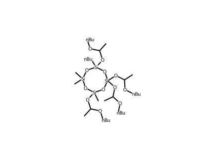 CCCCOC(C)O[Si]1(C)O[Si](C)(C)O[Si](CCCC)(OC(C)OCCCC)O[Si](OC(C)OCCCC)(OC(C)OCCCC)O1